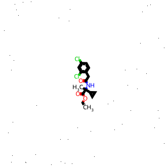 CCOC(=O)C(C)(NC(=O)Cc1ccc(Cl)cc1Cl)C1CC1